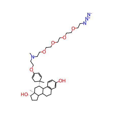 CN(CCOCCOCCOCCOCCN=[N+]=[N-])CCOC1=CCC(C)([C@H]2C[C@@]3(C)C(CC[C@@H]3O)C3CCc4cc(O)ccc4C32)C=C1